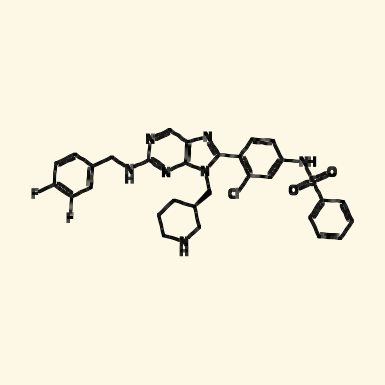 O=S(=O)(Nc1ccc(-c2nc3cnc(NCc4ccc(F)c(F)c4)nc3n2C[C@@H]2CCCNC2)c(Cl)c1)c1ccccc1